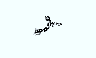 CCOCCOC(=O)CC1CN(Cc2ccc(-c3ccc(C(O)(C(F)(F)F)C(F)(F)F)cc3)c(C)c2)CCN1Cc1ccncc1